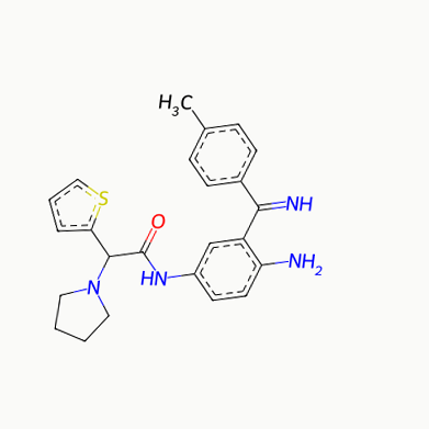 Cc1ccc(C(=N)c2cc(NC(=O)C(c3cccs3)N3CCCC3)ccc2N)cc1